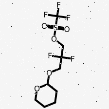 O=S(=O)(OCC(F)(F)COC1CCCCO1)C(F)(F)F